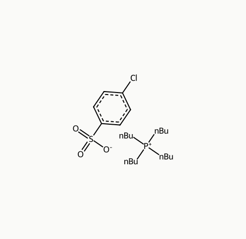 CCCC[P+](CCCC)(CCCC)CCCC.O=S(=O)([O-])c1ccc(Cl)cc1